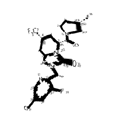 O=C([C@H]1C[C@@H](C(F)(F)F)Cc2nn(Cc3ncc(Cl)cc3F)c(=O)n21)N1CC[C@H](F)C1